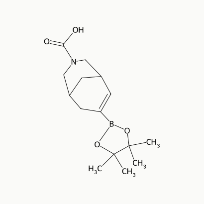 CC1(C)OB(C2=CC3CC(C2)CN(C(=O)O)C3)OC1(C)C